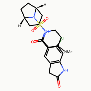 CNC1CCN(S(=O)(=O)N2[C@@H]3CC[C@H]2C[C@@H](NC(=O)c2cc4c(cc2Cl)NC(=O)C4)C3)CC1